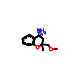 COCC1(C)C[C@@H](N)c2ccccc2O1